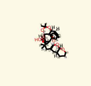 C=C1C(=O)[C@@]23[C@@H]4OC(C)(C)O[C@]25OC=C[C@]2(C6=C(C[C@H]7CCCO[C@H]7O6)CC(C)(C)[C@H]2[C@@H]5O)[C@@H]3CC[C@@H]14